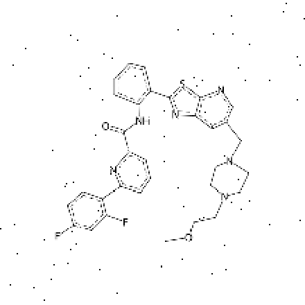 COCCN1CCN(Cc2cnc3sc(-c4ccccc4NC(=O)c4cccc(-c5ccc(F)cc5F)n4)nc3c2)CC1